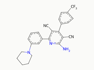 N#Cc1c(N)nc(-c2cccc(N3CCCCC3)c2)c(C#N)c1-c1ccc(C(F)(F)F)cc1